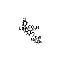 CCN(Cc1ccc(OCCn2c(=O)ccn(C)c2=O)c(C)c1)C(CC(=O)O)c1ccc(Cl)cc1